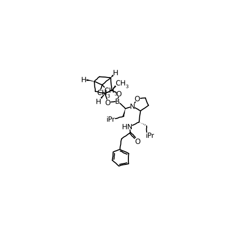 CC(C)C[C@H](NC(=O)Cc1ccccc1)C1CCON1[C@@H](CC(C)C)B1O[C@@H]2C[C@@H]3C[C@@H](C3(C)C)[C@]2(C)O1